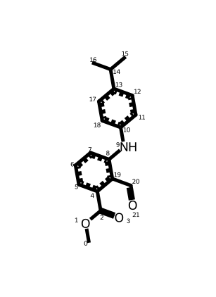 COC(=O)c1cccc(Nc2ccc(C(C)C)cc2)c1C=O